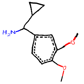 COc1ccc(C(N)C2CC2)cc1OC